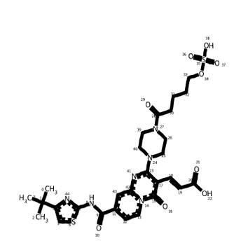 CC(C)(C)c1csc(NC(=O)c2ccn3c(=O)c(C=CC(=O)O)c(N4CCN(C(=O)CCCCOS(=O)(=O)O)CC4)nc3c2)n1